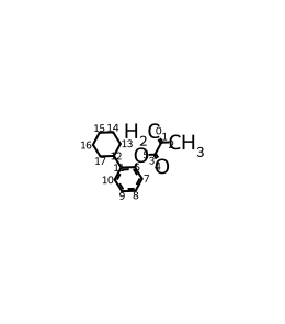 C=C(C)C(=O)Oc1ccccc1C1CCCCC1